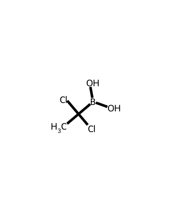 CC(Cl)(Cl)B(O)O